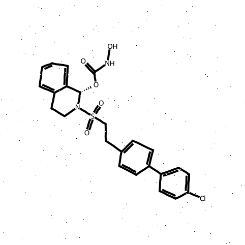 O=C(NO)O[C@H]1c2ccccc2CCN1S(=O)(=O)CCc1ccc(-c2ccc(Cl)cc2)cc1